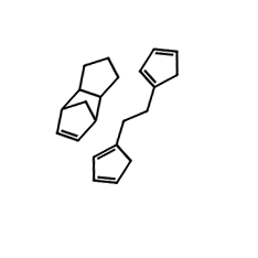 C1=CC2CC1C1CCCC21.C1=CCC(CCC2=CC=CC2)=C1